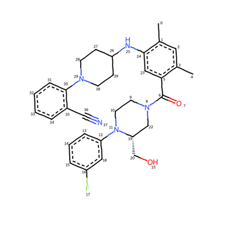 Cc1cc(C)c(C(=O)N2CCN(c3cccc(F)c3)[C@@H](CO)C2)cc1NC1CCN(c2ccccc2C#N)CC1